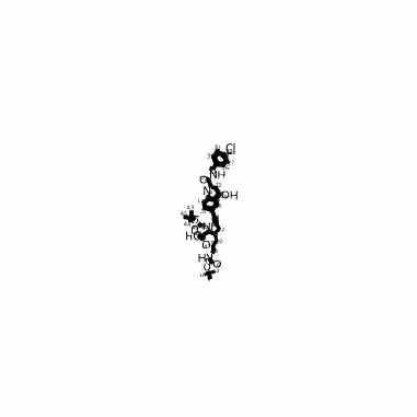 CC(C)(C)OC(=O)NCCCC(CC#Cc1ccc2nc(C(=O)NCc3ccc(Cl)cc3)cc(O)c2c1)C(NC(=O)OC(C)(C)C)C(=O)O